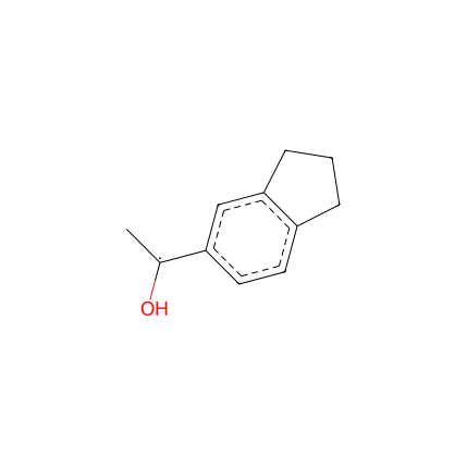 C[C](O)c1ccc2c(c1)CCC2